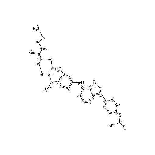 Cc1cc(Nc2nccn3c(-c4ccc(OC(F)F)cc4)cnc23)ccc1C(C)N1CCN(C(=O)NCCN)CC1